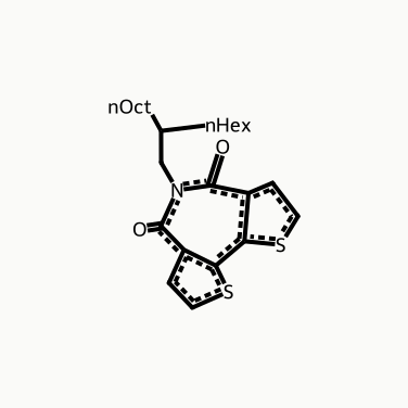 CCCCCCCCC(CCCCCC)Cn1c(=O)c2ccsc2c2sccc2c1=O